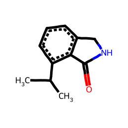 CC(C)c1cccc2c1C(=O)NC2